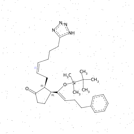 CC(C)(C)[Si](C)(C)OC(=CCCc1ccccc1)[C@H]1CCC(=O)[C@H]1C/C=C\CCCc1nnn[nH]1